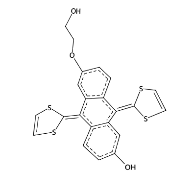 OCCOc1ccc2c(=C3SC=CS3)c3cc(O)ccc3c(=C3SC=CS3)c2c1